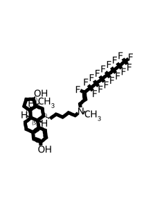 CN(CC=C(F)C(F)(F)C(F)(F)C(F)(F)C(F)(F)C(F)(F)C(F)(F)C(F)(F)F)CCCCC[C@H]1C[C@]2(C)[C@@H](O)CC[C@H]2[C@@H]2CCc3cc(O)ccc3[C@@H]12